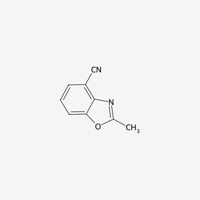 Cc1nc2c(C#N)cccc2o1